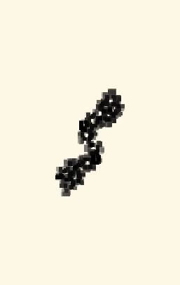 C1=CC2Oc3ccc(-c4ccc5c(c4)C4C=C(c6ccc7ccc8cccc9ccc6c7c89)C=CC4O5)cc3C2C=C1c1ccc2ccc3cccc4ccc1c2c34